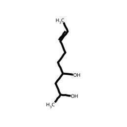 CC=CCCC(O)CC(C)O